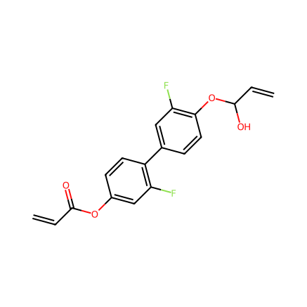 C=CC(=O)Oc1ccc(-c2ccc(OC(O)C=C)c(F)c2)c(F)c1